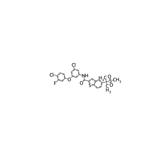 CC(C)(c1ccc2sc(C(=O)Nc3cc(Cl)cc(Oc4ccc(Cl)c(F)c4)c3)cc2c1)S(C)(=O)=O